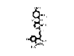 COC1CCCC(NC2=C(C#N)C=NC(NCCC(C=O)c3ccc(F)cc3N(C)C)N2C)N(C)C1